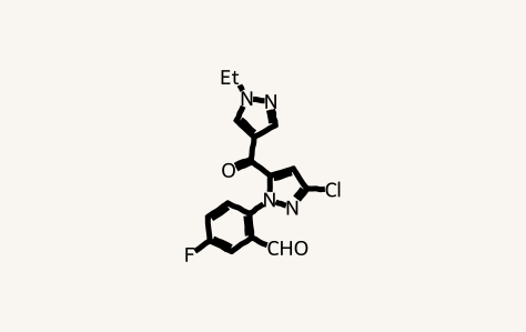 CCn1cc(C(=O)c2cc(Cl)nn2-c2ccc(F)cc2C=O)cn1